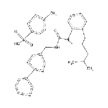 CN(C)CC1Cc2ccccc2N(C(=O)NCc2ccc(-c3ccccc3)cc2)C1.Cc1ccc(S(=O)(=O)O)cc1